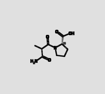 CC(C(N)=O)C(=O)N1CCC[C@H]1C(=O)O